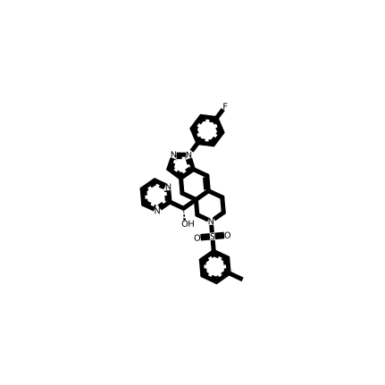 Cc1cccc(S(=O)(=O)N2CCC3=Cc4c(cnn4-c4ccc(F)cc4)CC3([C@H](O)c3ncccn3)C2)c1